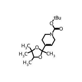 CC1OC(C)(C2=CCN(C(=O)OC(C)(C)C)CC2)OC1(C)C